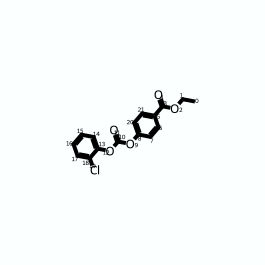 CCOC(=O)c1ccc(OC(=O)Oc2ccccc2Cl)cc1